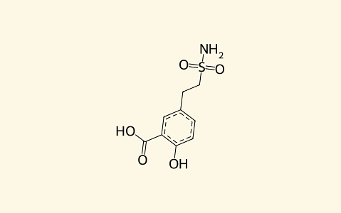 NS(=O)(=O)CCc1ccc(O)c(C(=O)O)c1